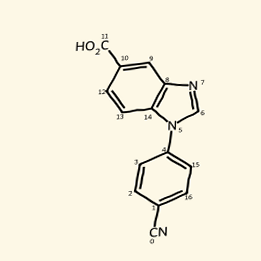 N#Cc1ccc(-n2cnc3cc(C(=O)O)ccc32)cc1